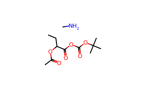 CCC(OC(C)=O)C(=O)OC(=O)OC(C)(C)C.CN